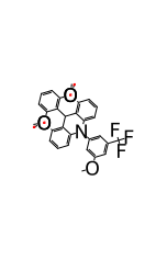 COc1cc(N2c3cccc(OC)c3C(c3c(OC)cccc3OC)c3c(OC)cccc32)cc(C(F)(F)F)c1